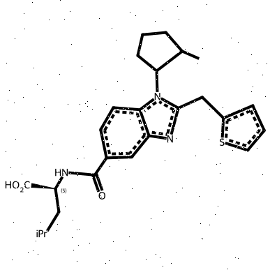 CC(C)C[C@H](NC(=O)c1ccc2c(c1)nc(Cc1cccs1)n2C1CCCC1C)C(=O)O